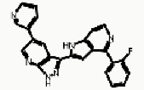 Fc1ccccc1-c1nccc2[nH]c(-c3n[nH]c4ncc(-c5cccnc5)cc34)cc12